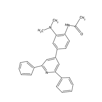 CC(=O)Nc1ccc(-c2cc(-c3ccccc3)nc(-c3ccccc3)c2)cc1N(C)C